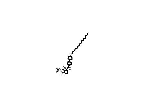 CCCCCCCCCCCCCCCCOc1ccc(-c2ccc(C(=O)Oc3cccc(F)c3C(=O)OCC(C)CC)cc2)cc1